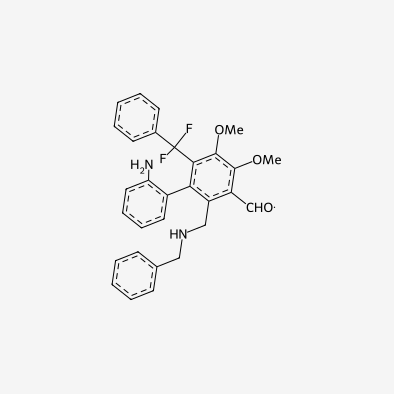 COc1c([C]=O)c(CNCc2ccccc2)c(-c2ccccc2N)c(C(F)(F)c2ccccc2)c1OC